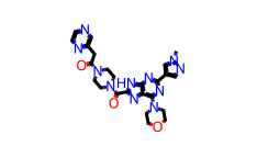 Cn1cc(-c2nc(N3CCOCC3)c3nc(C(=O)N4CCN(C(=O)Cc5cnccn5)CC4)[nH]c3n2)cn1